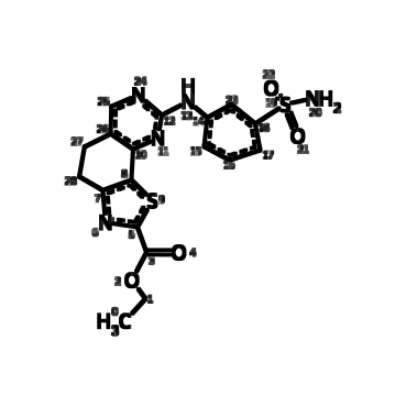 CCOC(=O)c1nc2c(s1)-c1nc(Nc3cccc(S(N)(=O)=O)c3)ncc1CC2